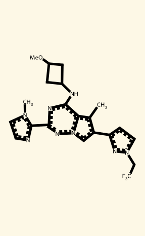 COC1CC(Nc2nc(-c3nccn3C)nn3cc(-c4ccn(CC(F)(F)F)n4)c(C)c23)C1